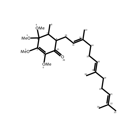 COC1=C(OC)C(OC)(OC)C(C)C(C/C=C(\C)CC/C=C(\C)CCC=C(C)C)C1=O